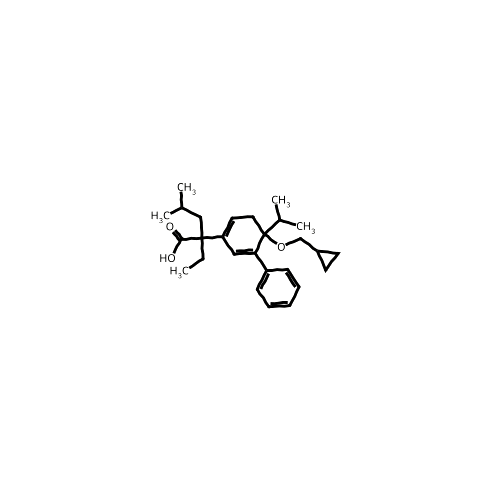 CCC(CC(C)C)(C(=O)O)C1=CCC(OCC2CC2)(C(C)C)C(c2ccccc2)=C1